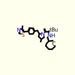 C=C(C(NCC1CCCCCCC1)C(C)(C)C)N1CC(C)CC1CC1=CC=C(c2scnc2C)CC1